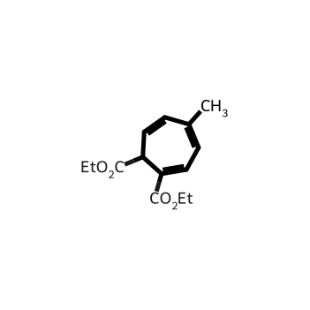 CCOC(=O)C1=CC=C(C)C=CC1C(=O)OCC